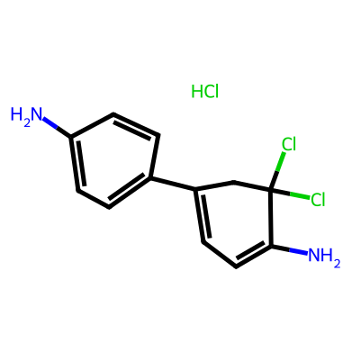 Cl.NC1=CC=C(c2ccc(N)cc2)CC1(Cl)Cl